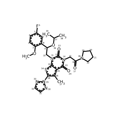 COc1ccc(F)cc1C(Cn1c(=O)n(CC(=O)N2CCCC2)c(=O)c2c(C)c(-n3nccn3)sc21)OC(C)C